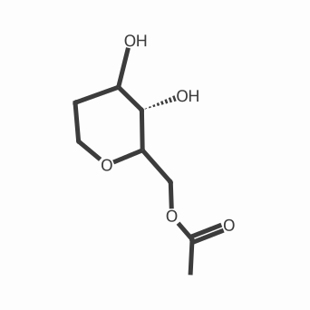 CC(=O)OCC1OCCC(O)[C@@H]1O